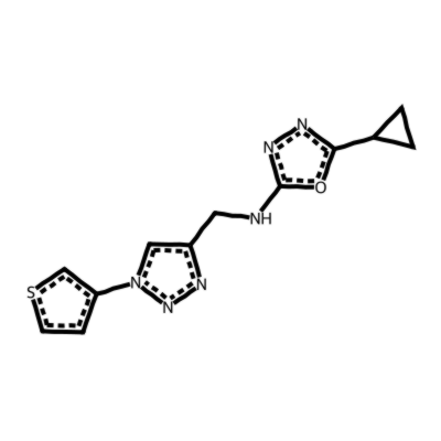 c1cc(-n2cc(CNc3nnc(C4CC4)o3)nn2)cs1